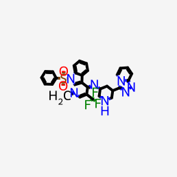 C=N/C=C(\C(=N/C1CNCC(c2nnc3ccccn23)C1)c1cn(S(=O)(=O)c2ccccc2)c2ccccc12)C(F)(F)F